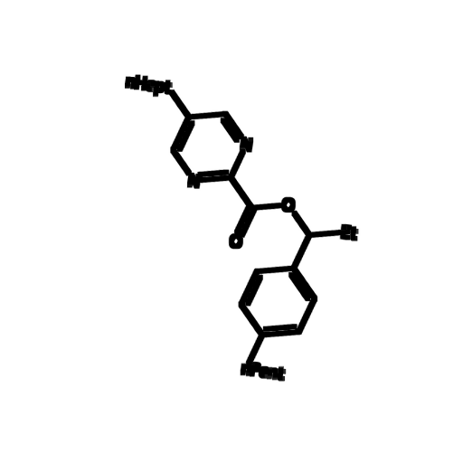 CCCCCCCc1cnc(C(=O)OC(CC)c2ccc(CCCCC)cc2)nc1